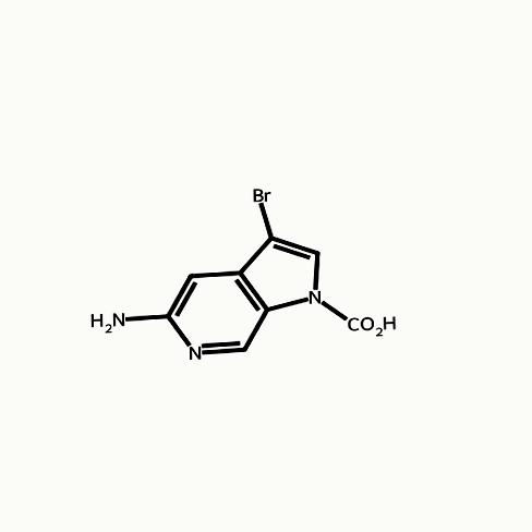 Nc1cc2c(Br)cn(C(=O)O)c2cn1